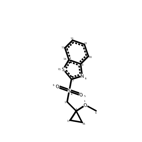 COC1(CS(=O)(=O)c2nc3ccccc3s2)CC1